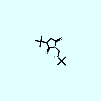 CC(C)(C)NCN1C(=O)CC(C(C)(C)C)C1=O